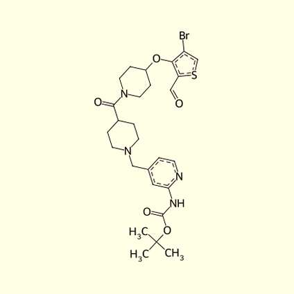 CC(C)(C)OC(=O)Nc1cc(CN2CCC(C(=O)N3CCC(Oc4c(Br)csc4C=O)CC3)CC2)ccn1